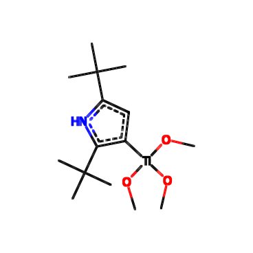 C[O][Ti]([O]C)([O]C)[c]1cc(C(C)(C)C)[nH]c1C(C)(C)C